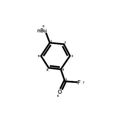 CCCCc1ccc(C(=O)F)cc1